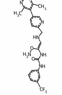 Cc1ncnc(C)c1-c1ccc(CN/C=C(/NC(=O)Nc2cccc(C(F)(F)F)c2)ON)nc1